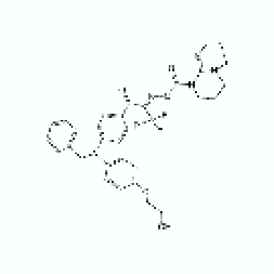 O=C(/C(=N/OC(=O)N1CCCN2CCCN=C21)C(F)(F)F)c1ccc2c(c1)c1cc(OCCO)ccc1n2Cc1ccccc1